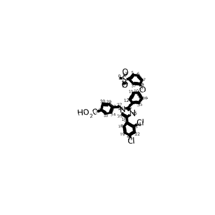 CS(=O)(=O)c1cccc(Oc2ccc(-c3nc(-c4ccc(Cl)cc4Cl)cn3Cc3ccc(C(=O)O)cc3)cc2)c1